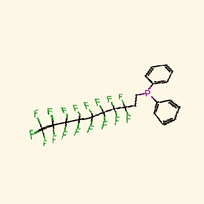 FC(F)(F)C(F)(F)C(F)(F)C(F)(F)C(F)(F)C(F)(F)C(F)(F)C(F)(F)CCP(c1ccccc1)c1ccccc1